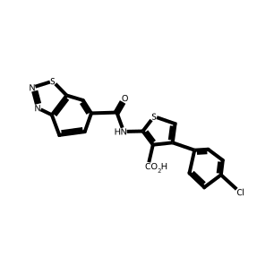 O=C(Nc1scc(-c2ccc(Cl)cc2)c1C(=O)O)c1ccc2nnsc2c1